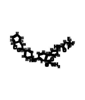 NS(=O)(=O)c1cc(Nc2ccc(C(=O)Cc3ccccc3Cl)cc2)ccc1-n1cc(NC(=O)CC(F)(F)F)cn1